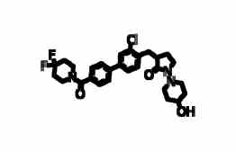 O=C(c1ccc(-c2ccc(CC3CCN(N4CCC(O)CC4)C3=O)c(Cl)c2)cc1)N1CCC(F)(F)CC1